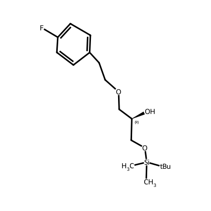 CC(C)(C)[Si](C)(C)OC[C@H](O)COCCc1ccc(F)cc1